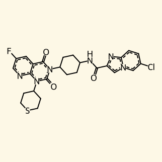 O=C(NC1CCC(n2c(=O)c3cc(F)cnc3n(C3CCSCC3)c2=O)CC1)c1cn2cc(Cl)ccc2n1